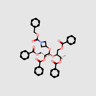 C[C@H](OC(=O)c1ccccc1)C(COC(=O)c1ccccc1)O[C@H](OC1CN(C(=O)OCc2ccccc2)C1)[C@@H](COC(=O)c1ccccc1)OC(=O)c1ccccc1